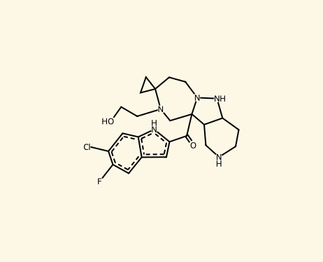 O=C(c1cc2cc(F)c(Cl)cc2[nH]1)C12CN(CCO)C3(CCN1NC1CCNCC12)CC3